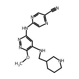 COc1nnc(Nc2cnc(C#N)cn2)cc1NCC1CCCNC1